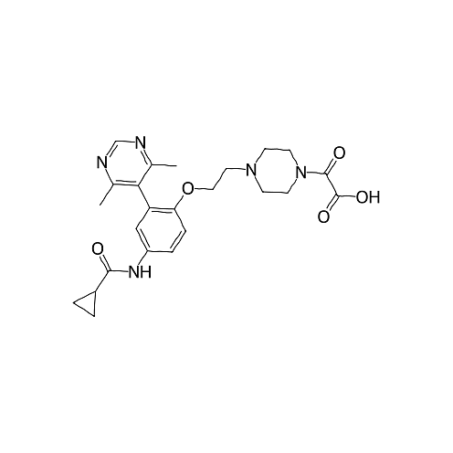 Cc1ncnc(C)c1-c1cc(NC(=O)C2CC2)ccc1OCCN1CCN(C(=O)C(=O)O)CC1